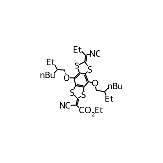 [C-]#[N+]C(CC)=C1Sc2c(OCC(CC)CCCC)c3c(c(OCC(CC)CCCC)c2S1)SC(=C(C#N)C(=O)OCC)S3